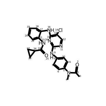 CC(=O)N(C)c1ccc(Nc2ncc(Cl)c(Nc3ccccc3NC(=O)C3CC3)n2)cc1